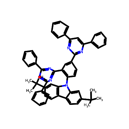 CC(C)(C)c1ccc2c3ccc(C(C)(C)C)cc3n(-c3ccc(-c4nc(-c5ccccc5)cc(-c5ccccc5)n4)cc3-c3nc(-c4ccccc4)nc(-c4ccccc4)n3)c2c1